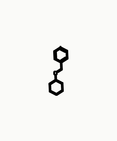 [c]1ccc(COC2CCCCC2)cc1